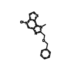 Cn1c(COCc2ccccc2)nc2c[n+]([O-])c3ccsc3c21